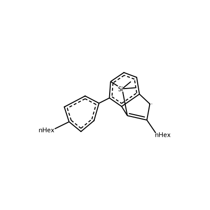 CCCCCCC1=C2c3c(ccc(c3-c3ccc(CCCCCC)cc3)[Si]2(C)C)[CH]1